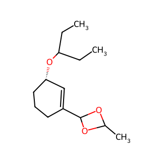 CCC(CC)O[C@@H]1C=C(C2OC(C)O2)CCC1